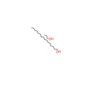 CCCCCCCCCCCCCCCCO.CCCO